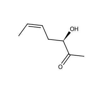 C/C=C\C[C@@H](O)C(C)=O